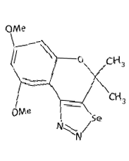 COc1cc(OC)c2c(c1)OC(C)(C)c1[se]nnc1-2